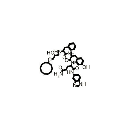 NC(=O)CCC(NC(=O)C(Cc1ccc(O)cc1)NC(=O)C(Cc1ccccc1)NCC(O)COC1CCCCCCCCC1)C(=O)Nc1ccc2[nH]cnc2c1